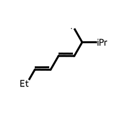 [CH2]C(C=CC=CCC)C(C)C